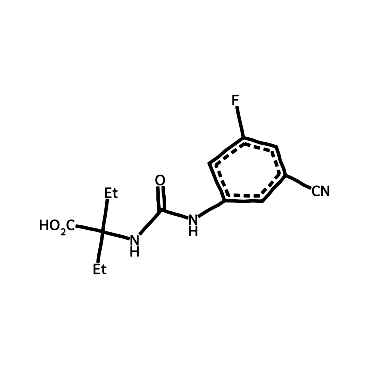 CCC(CC)(NC(=O)Nc1cc(F)cc(C#N)c1)C(=O)O